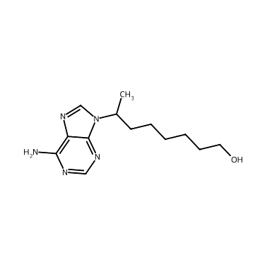 CC(CCCCCCO)n1cnc2c(N)ncnc21